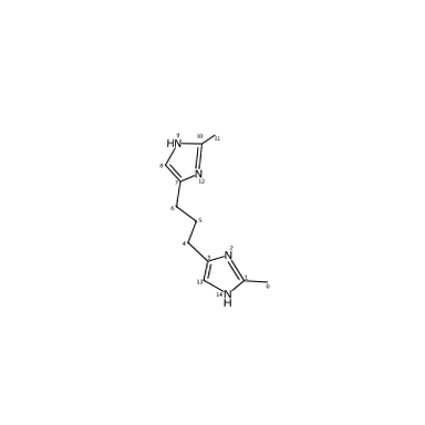 Cc1nc(CCCc2c[nH]c(C)n2)c[nH]1